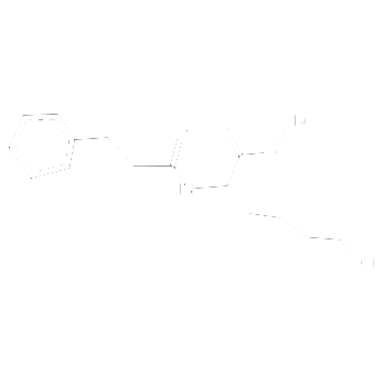 CC(C)(C)OC(=O)[C@H](CCCCO)NC(=O)CCc1ccccc1